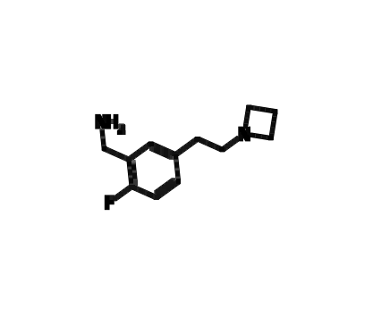 NCc1cc(CCN2CCC2)ccc1F